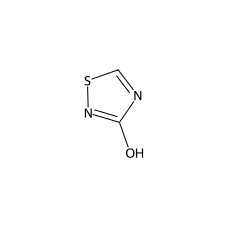 Oc1ncsn1